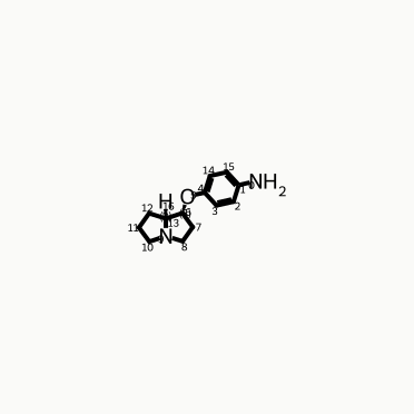 Nc1ccc(O[C@H]2CCN3CCC[C@H]23)cc1